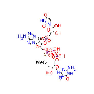 COCC[C@H]1[C@@H](O)[C@H](n2c[n+](C)c3c(=O)[nH]c(N)nc32)O[C@@H]1COP(=O)(O)OP(=O)(O)OP(O)(=S)OC[C@H]1O[C@@H](n2cnc3c(N)ncnc32)[C@H](OC)[C@@H]1OP(=O)([O-])OC[C@H]1O[C@@H](n2ccc(=O)[nH]c2=O)[C@H](O)[C@@H]1O